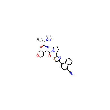 CN[C@@H](C)C(=O)N[C@H](C(=O)N1CCC[C@H]1c1nc(-c2ccc(C#N)c3ccccc23)cs1)C1CCOCC1